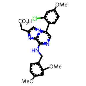 COc1ccc(-c2cnc(NCc3ccc(OC)cc3OC)c3nc(CC(=O)O)cn23)c(Cl)c1